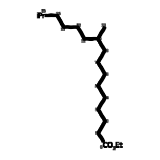 CCOC(=O)CCCCCCCCC(C)CCCCC(C)C